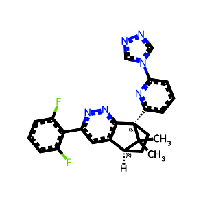 CC1(C)[C@H]2CC[C@]1(c1cccc(-n3cnnc3)n1)c1nnc(-c3c(F)cccc3F)cc12